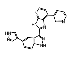 c1cncc(-c2ccnc3[nH]c(-c4n[nH]c5ccc(-c6cn[nH]c6)cc45)nc23)c1